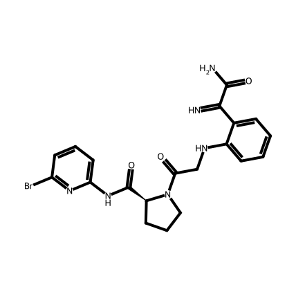 N=C(C(N)=O)c1ccccc1NCC(=O)N1CCC[C@H]1C(=O)Nc1cccc(Br)n1